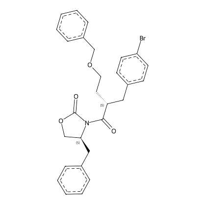 O=C1OC[C@H](Cc2ccccc2)N1C(=O)[C@H](CCOCc1ccccc1)Cc1ccc(Br)cc1